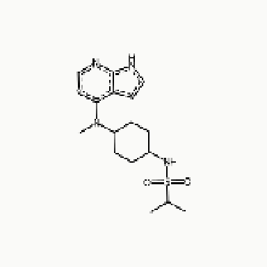 CC(C)S(=O)(=O)NC1CCC(N(C)c2ncnc3[nH]ccc23)CC1